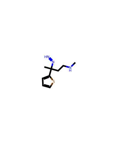 CNCCC(C)(N=N)c1cccs1